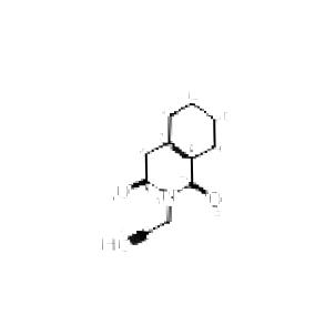 C#CCN1C(=O)CC2=C(CCCC2)C1=O